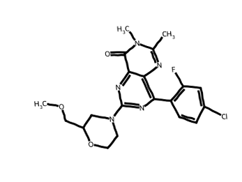 COCC1CN(c2nc(-c3ccc(Cl)cc3F)c3nc(C)n(C)c(=O)c3n2)CCO1